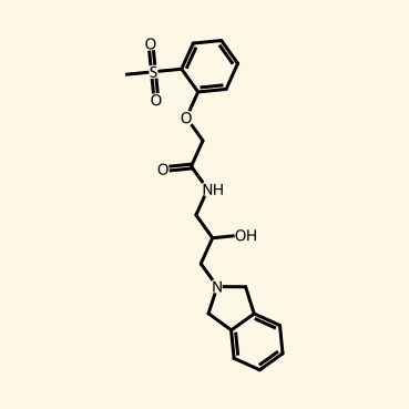 CS(=O)(=O)c1ccccc1OCC(=O)NCC(O)CN1Cc2ccccc2C1